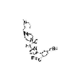 CCCCc1ccc(OCC)c(-c2csc(NC(=O)N3CCN(CC4CCCN(C)C4)CC3)n2)c1